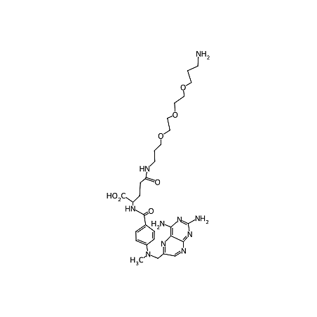 CN(Cc1cnc2nc(N)nc(N)c2n1)c1ccc(C(=O)NC(CCC(=O)NCCCOCCOCCOCCCN)C(=O)O)cc1